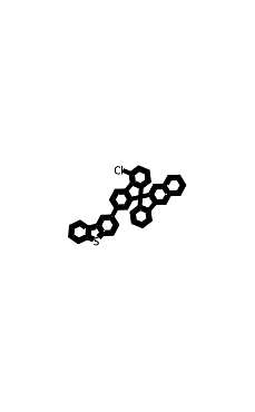 Clc1cccc2c1-c1ccc(-c3ccc4sc5ccccc5c4c3)cc1C21c2ccccc2-c2cc3ccccc3cc21